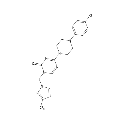 O=c1nc(N2CCN(c3ccc(Cl)cc3)CC2)ncn1Cn1ccc(C(F)(F)F)n1